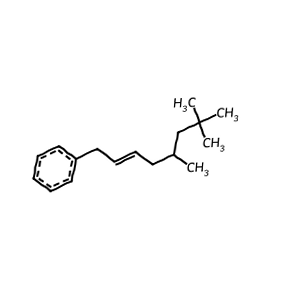 CC(C/C=C/Cc1ccccc1)CC(C)(C)C